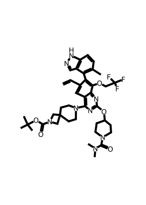 C=Cc1cc2c(N3CCC4(CC3)CN(C(=O)OC(C)(C)C)C4)nc(OC3CCN(C(=O)N(C)C)CC3)nc2c(OCC(F)(F)F)c1-c1c(C)ccc2[nH]ncc12